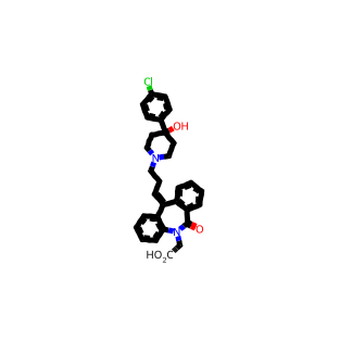 O=C(O)CN1C(=O)c2ccccc2C(=CCCN2CCC(O)(c3ccc(Cl)cc3)CC2)c2ccccc21